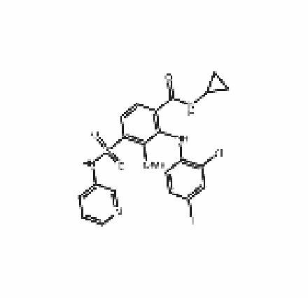 COc1c(S(=O)(=O)Nc2cccnc2)ccc(C(=O)NC2CC2)c1Nc1ccc(I)cc1Cl